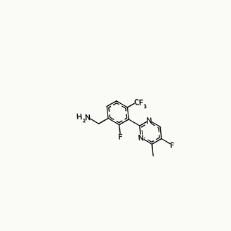 Cc1nc(-c2c(C(F)(F)F)ccc(CN)c2F)ncc1F